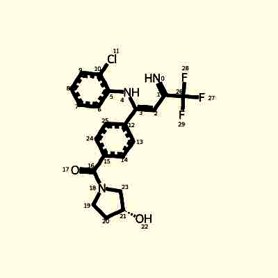 N=C(/C=C(\Nc1ccccc1Cl)c1ccc(C(=O)N2CC[C@@H](O)C2)cc1)C(F)(F)F